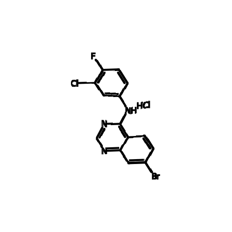 Cl.Fc1ccc(Nc2ncnc3cc(Br)ccc23)cc1Cl